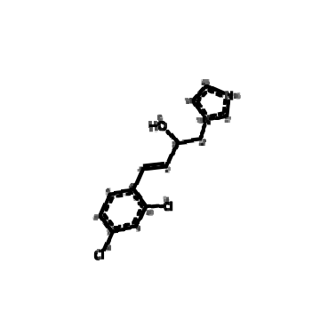 OC(/C=C/c1ccc(Cl)cc1Cl)Cn1ccnc1